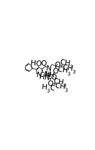 CC(C)(C)OC(=O)CNC(=O)c1c(NNC(=O)OC(C)(C)C)ncc(-c2ccccc2)c1O